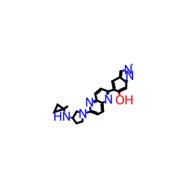 Cn1cc2cc(-c3ccc4nc(N5CC[C@@H](NC6(C)CC6)C5)ccc4n3)c(O)cc2n1